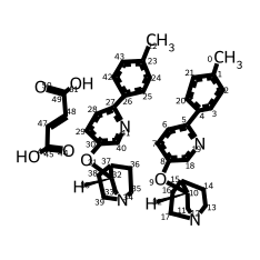 Cc1ccc(-c2ccc(O[C@H]3CN4CCC3CC4)cn2)cc1.Cc1ccc(-c2ccc(O[C@H]3CN4CCC3CC4)cn2)cc1.O=C(O)/C=C/C(=O)O